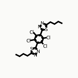 CCCCc1nnc(-c2c(Cl)c(Cl)c(-c3nnc(CCCC)s3)c(Cl)c2Cl)s1